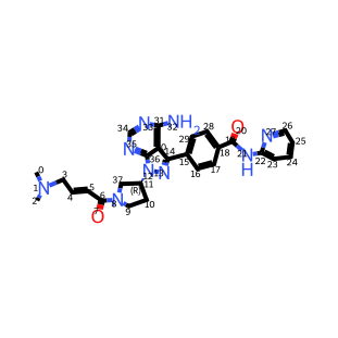 CN(C)CC=CC(=O)N1CC[C@@H](n2nc(-c3ccc(C(=O)Nc4ccccn4)cc3)c3c(N)ncnc32)C1